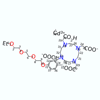 CCOCCOCCOCCOc1ccc(C[C@H]2CN(CC(=O)[O-])CCN(CC(=O)[O-])CCN(CC(=O)O)CCN2CC(=O)[O-])cc1.[Gd+3]